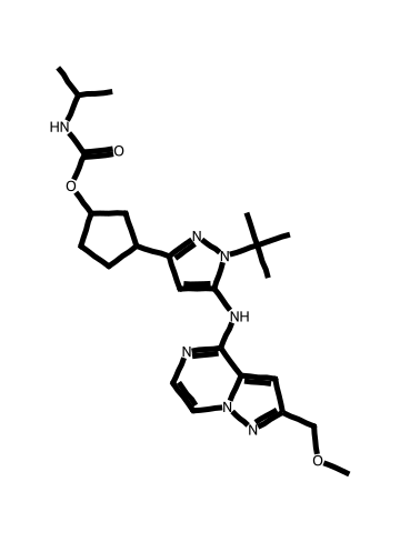 COCc1cc2c(Nc3cc(C4CCC(OC(=O)NC(C)C)C4)nn3C(C)(C)C)nccn2n1